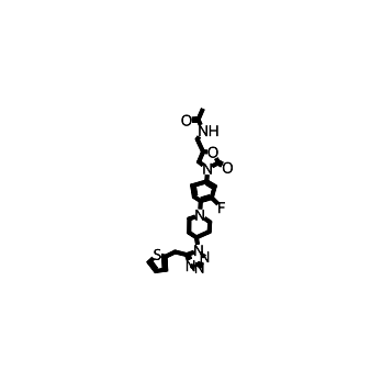 CC(=O)NCC1CN(c2ccc(N3CCC(n4nnnc4Cc4cccs4)CC3)c(F)c2)C(=O)O1